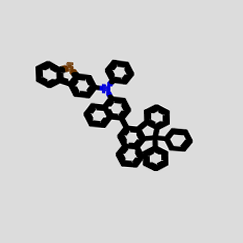 C1=CCC(C2(c3ccccc3)c3ccccc3-c3c(-c4ccc(N(c5ccccc5)c5ccc6c(c5)sc5ccccc56)c5ccccc45)cc4ccccc4c32)C=C1